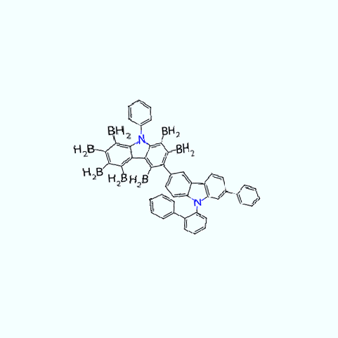 Bc1c(B)c(B)c2c(c1B)c1c(B)c(-c3ccc4c(c3)c3ccc(-c5ccccc5)cc3n4-c3ccccc3-c3ccccc3)c(B)c(B)c1n2-c1ccccc1